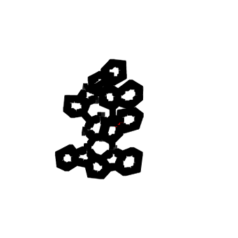 c1ccc(-c2nc(-c3cccc4nc(-c5ccccc5)sc34)nc(-n3c4ccccc4c4ccc5c6ccccc6n(-c6ccc(-c7cc8ccccc8c8ccccc78)cc6)c5c43)n2)cc1